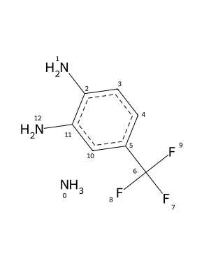 N.Nc1ccc(C(F)(F)F)cc1N